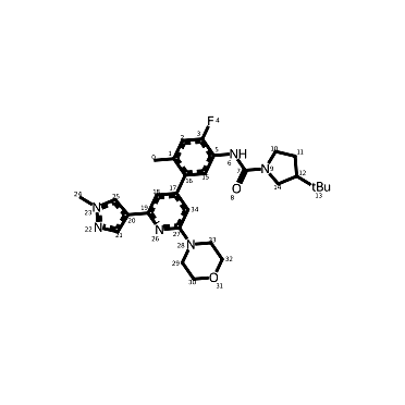 Cc1cc(F)c(NC(=O)N2CCC(C(C)(C)C)C2)cc1-c1cc(-c2cnn(C)c2)nc(N2CCOCC2)c1